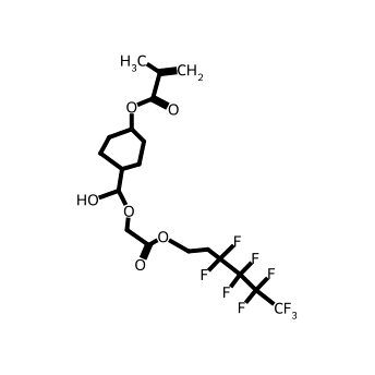 C=C(C)C(=O)OC1CCC(C(O)OCC(=O)OCCC(F)(F)C(F)(F)C(F)(F)C(F)(F)F)CC1